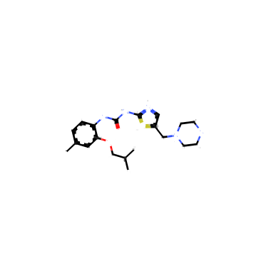 Cc1ccc(NC(=O)Nc2ncc(CN3CCNCC3)s2)c(OCC(C)C)c1